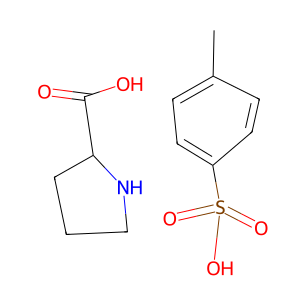 Cc1ccc(S(=O)(=O)O)cc1.O=C(O)C1CCCN1